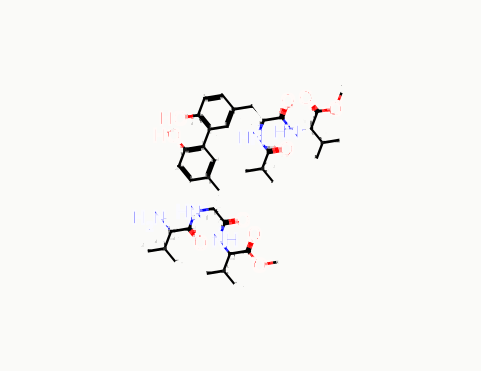 COC(=O)C(NC(=O)[C@@H](Cc1ccc(O)c(-c2cc(C[C@H](NC(=O)C(C)C)C(=O)N[C@H](C(=O)OC)C(C)C)ccc2O)c1)NC(=O)[C@H](N)C(C)C)C(C)C